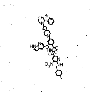 C[C@H]1CC[C@@H](CNc2ncc(S(=O)(=O)NC(=O)c3ccc(N4CCC5(CC4)CC(N4CCOC[C@H]4c4ccccc4Br)C5)cc3Oc3cnc4[nH]ccc4c3)cc2[N+](=O)[O-])CC1